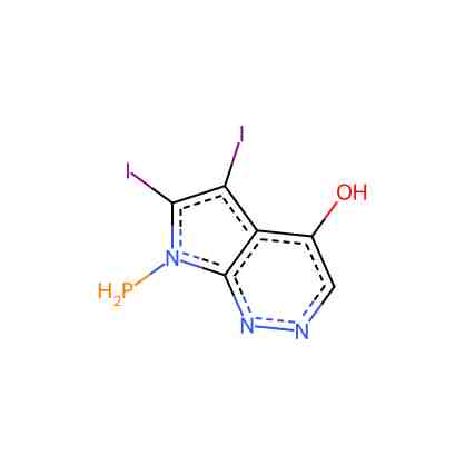 Oc1cnnc2c1c(I)c(I)n2P